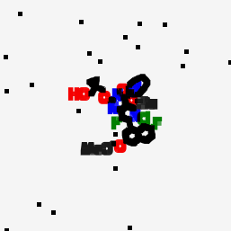 COCOc1cc(-c2ncc3c(N4CC5CCC(C4)N5C(=O)OC(C)(C)C)nc(OCC4(CO)CC4)nc3c2F)c2c(Cl)c(F)ccc2c1